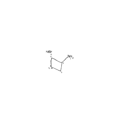 Br.NC1CSC1